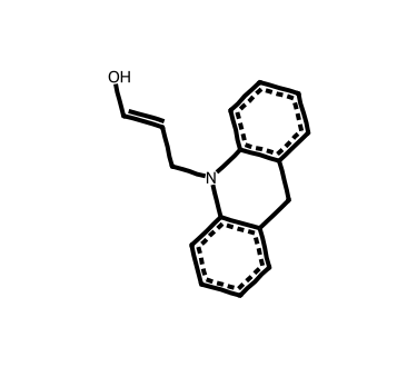 OC=CCN1c2ccccc2Cc2ccccc21